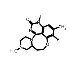 Cc1cc2c3c(nc(=O)n2I)N2CCN(C)CC2CCOc3c1F